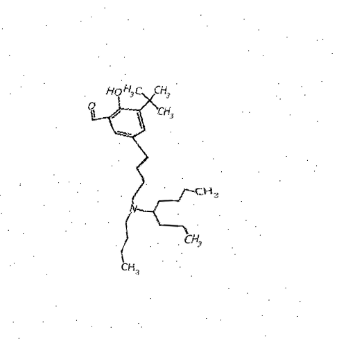 CCCCC(CCC)N(CCCC)CCCCc1cc(C=O)c(O)c(C(C)(C)C)c1